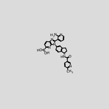 Cc1ccc(C(=O)N[C@H]2CCc3cc(-n4c(-c5cccnc5N)nc5ccc(B(O)O)nc54)ccc32)cn1